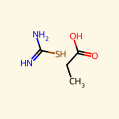 CCC(=O)O.N=C(N)S